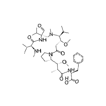 CN[C@H](C(=O)N[C@@](C=O)(CN(C)[C@@H](C(C)C)[C@@H](CC(=O)N1CCC[C@H]1[C@H](OC)[C@@H](C)C(=O)N[C@@H](Cc1ccccc1)C(=O)O)OC)C(C)C)C(C)C